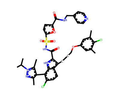 Cc1cc(OCCCc2c(C(=O)NS(=O)(=O)c3ccc(C(=O)NCc4ccncc4)o3)[nH]c3c(-c4c(C)nn(C(C)C)c4C)c(Cl)ccc23)cc(C)c1Cl